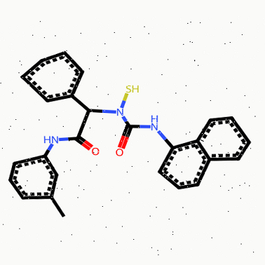 Cc1cccc(NC(=O)C(c2ccccc2)N(S)C(=O)Nc2cccc3ccccc23)c1